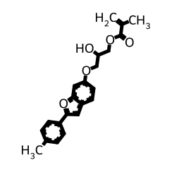 C=C(C)C(=O)OCC(O)COc1ccc2cc(-c3ccc(C)cc3)oc2c1